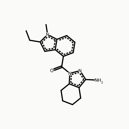 CCc1cc2c(C(=O)n3nc(N)c4c3CCCC4)cccc2n1C